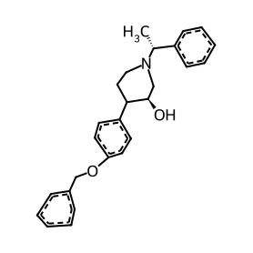 C[C@H](c1ccccc1)N1CCC(c2ccc(OCc3ccccc3)cc2)[C@H](O)C1